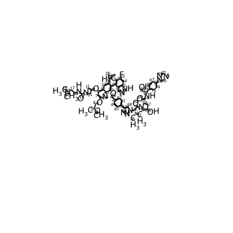 CO[C@@H](C)COc1cc(OC2CN(C(=O)NCCN(C)C)C2)c2cc(C3CC3)c(-c3c(C)c(F)cc4[nH]ncc34)c(OCc3ccc(-c4cn([C@H](C(=O)N5C[C@H](O)C[C@H]5C(=O)N[C@@H](CO)c5ccc(-n6cncn6)cc5)C(C)C)nn4)cc3)c2n1